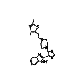 Cc1nc(C)c(CCN2CCN(c3scnc3-c3nc4ccccc4[nH]3)CC2)s1